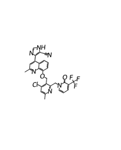 Cc1cc(Cl)c(COc2cccc3c(-c4nc[nH]c4C#N)cc(C)nc23)c(Cn2cccc(C(F)(F)F)c2=O)n1